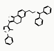 FC(F)(F)c1c(-c2onc3c2CCc2cc(CCN=C(c4ccccc4)c4ccccc4)ccc2-3)cnn1-c1ccccc1